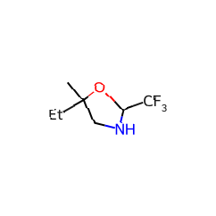 CCC1(C)CNC(C(F)(F)F)O1